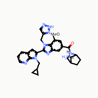 COc1cc(C(=O)N2CC3CCC2[C@@H]3N)cc2nc(-c3cc4cccnc4n3CC3CC3)n(Cc3cn[nH]n3)c12